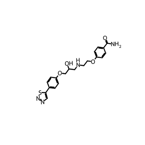 NC(=O)c1ccc(OCCNCC(O)COc2ccc(-c3cnns3)cc2)cc1